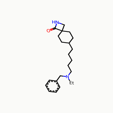 CCN(CCCCCC1CCC2(CC1)CNC2=O)Cc1ccccc1